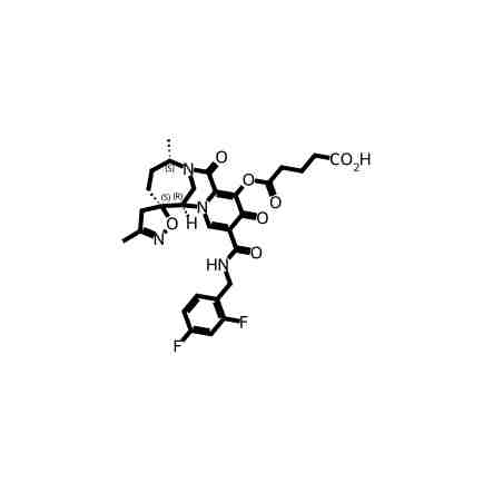 CC1=NO[C@@]2(CC[C@H](C)N3C[C@H]2n2cc(C(=O)NCc4ccc(F)cc4F)c(=O)c(OC(=O)CCCC(=O)O)c2C3=O)C1